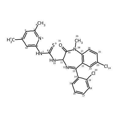 Cc1cc(C)nc(NC(=S)NC2N=C(c3ccccc3Cl)c3cc(Cl)ccc3N(C)C2=O)c1